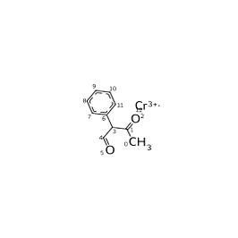 CC(=O)C(C=O)c1ccccc1.[Cr+3]